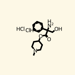 CN1CCC(OC(=O)C(N)(CO)c2ccccc2)CC1.Cl.Cl